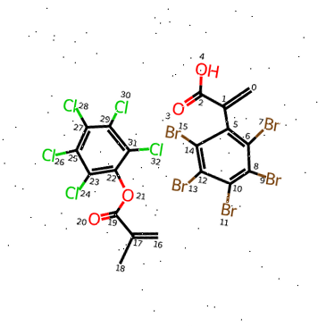 C=C(C(=O)O)c1c(Br)c(Br)c(Br)c(Br)c1Br.C=C(C)C(=O)Oc1c(Cl)c(Cl)c(Cl)c(Cl)c1Cl